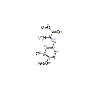 COC(=O)/C(N)=C/c1ccc(OC)c(Cl)c1